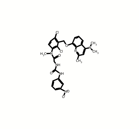 Cc1cc(N(C)C)c2cccc(OCc3c(Cl)ccc(N(C)C(=O)CNC(=O)Nc4cccc([N+](=O)[O-])c4)c3Cl)c2n1